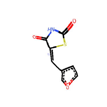 O=C1NC(=O)/C(=C/c2ccoc2)S1